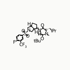 CC(C)C[C@@H](C(=O)N[C@@H]1CC[C@H]2CN(S(=O)(=O)c3ccc(F)c(C(F)(F)F)c3)C[C@H]21)N(C)C(=O)OC(C)(C)C